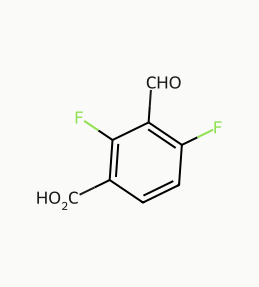 O=Cc1c(F)ccc(C(=O)O)c1F